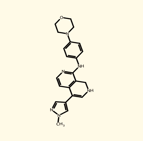 Cn1cc(C2=CNCc3c2ccnc3Nc2ccc(N3CCOCC3)cc2)cn1